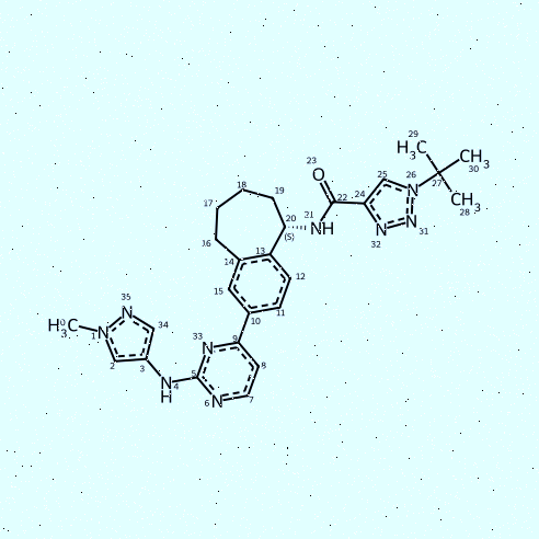 Cn1cc(Nc2nccc(-c3ccc4c(c3)CCCC[C@@H]4NC(=O)c3cn(C(C)(C)C)nn3)n2)cn1